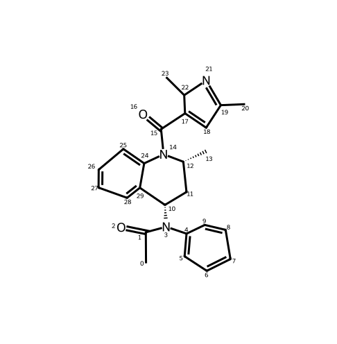 CC(=O)N(c1ccccc1)[C@H]1C[C@@H](C)N(C(=O)C2=CC(C)=NC2C)c2ccccc21